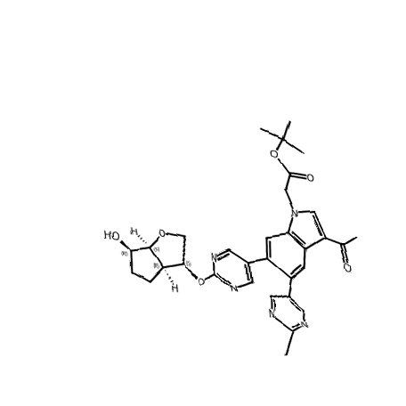 CC(=O)c1cn(CC(=O)OC(C)(C)C)c2cc(-c3cnc(O[C@@H]4CO[C@H]5[C@@H]4CC[C@H]5O)nc3)c(-c3cnc(C)nc3)cc12